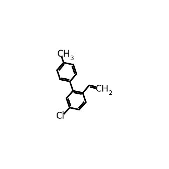 C=Cc1ccc(Cl)cc1-c1ccc(C)cc1